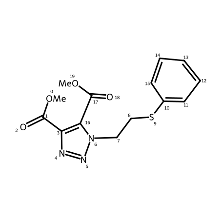 COC(=O)c1nnn(CCSc2ccccc2)c1C(=O)OC